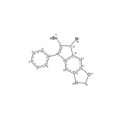 CCCCC1=C(c2ccccc2)c2cc3c(cc2C1Br)OCO3